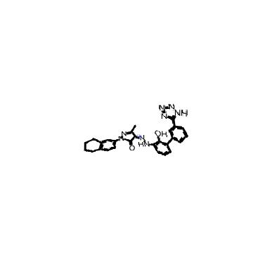 CC1=NN(c2ccc3c(c2)CCCC3)C(=O)/C1=N\Nc1cccc(-c2cccc(-c3nnn[nH]3)c2)c1O